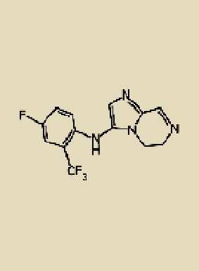 Fc1ccc(Nc2cnc3n2CCN=C3)c(C(F)(F)F)c1